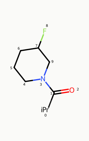 CC(C)C(=O)N1CCCC(F)C1